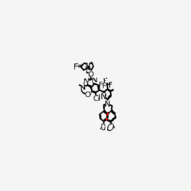 COc1ccc(CN(Cc2ccc(OC)cc2)c2cc(C)c(C(F)(F)F)c(-c3c(Cl)c4c5c(nc(OC[C@@]67CCCN6C[C@H](F)C7)nc5c3F)N(C)CCO4)n2)cc1